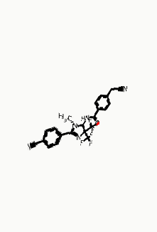 CN1C(c2ccc(C#N)cc2)=NC(C(F)(F)F)(C(F)(F)F)C1NC(=O)c1ccc(CC#N)cc1